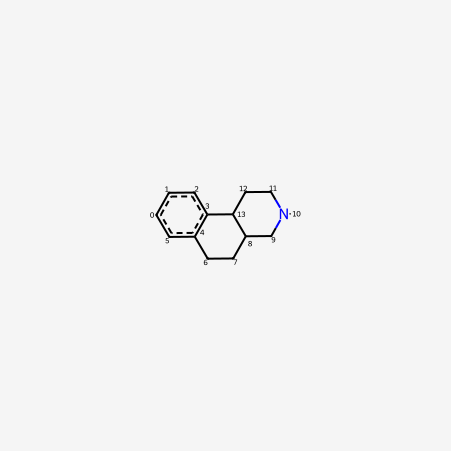 c1ccc2c(c1)CCC1C[N]CCC21